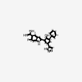 N=C(N)c1cc2cc(-c3cc(-c4cnn[nH]4)cc(-c4ccccc4)c3O)[nH]c2cc1F